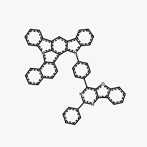 c1ccc(-c2nc(-c3ccc(-n4c5ccccc5c5cc6c7ccccc7n7c8c9ccccc9ccc8c(c54)c67)cc3)c3oc4ccccc4c3n2)cc1